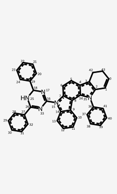 C1=Cc2c(c3ccc4c(c5ccccc5n4C4=NC(c5ccccc5)NC(c5ccccc5)=N4)c3n2-c2ccccc2)CC1